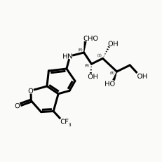 O=C[C@H](Nc1ccc2c(C(F)(F)F)cc(=O)oc2c1)[C@@H](O)[C@H](O)[C@H](O)CO